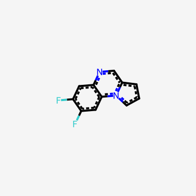 Fc1cc2ncc3cccn3c2cc1F